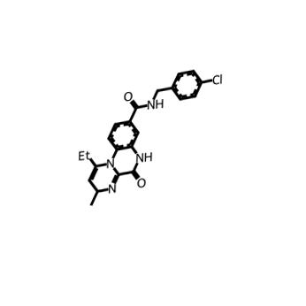 CCC1=CC(C)N=C2C(=O)Nc3cc(C(=O)NCc4ccc(Cl)cc4)ccc3N12